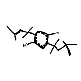 CC(C)=CC(C)(C)c1cc(O)c(C(C)(C)CC(C)(C)C)cc1O